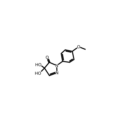 COc1ccc(N2N=CC(O)(O)C2=O)cc1